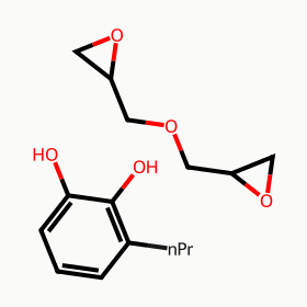 C(OCC1CO1)C1CO1.CCCc1cccc(O)c1O